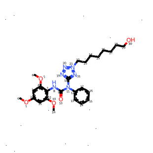 COc1cc(OC)c(NC(=O)N(c2ccccc2)c2nnn(CCCCCCCCO)n2)c(OC)c1